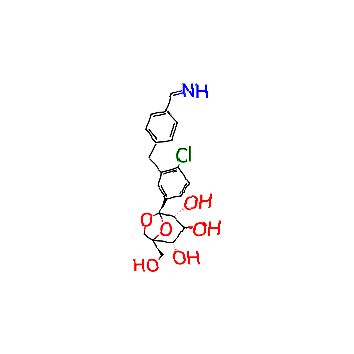 N=Cc1ccc(Cc2cc([C@]34OC[C@](CO)(O3)[C@@H](O)[C@H](O)[C@H]4O)ccc2Cl)cc1